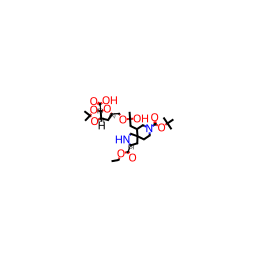 CCOC(=O)[C@@H]1CC2(CCN(C(=O)OC(C)(C)C)CC2CC(C)(O)OC[C@H]2C[C@@H]3OC(C)(C)O[C@]3(C(=O)O)O2)CN1